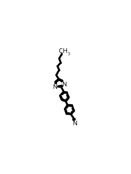 CCCCCCCc1cnc(-c2ccc(-c3ccc(C#N)cc3)cc2)nc1